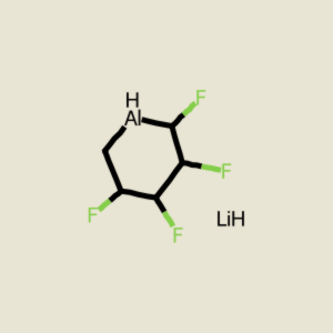 FC1[CH2][AlH][CH](F)C(F)C1F.[LiH]